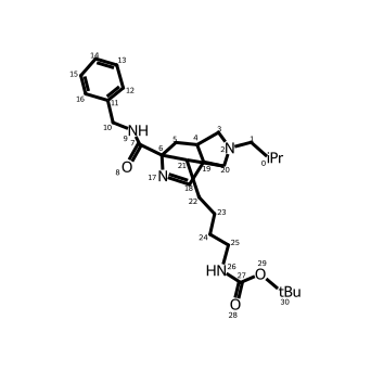 CC(C)CN1CC2CC3(C(=O)NCc4ccccc4)N=CC2C1C3CCCCNC(=O)OC(C)(C)C